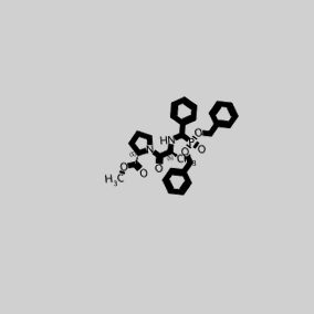 COC(=O)[C@@H]1CCCN1C(=O)[C@H](C)NC(c1ccccc1)P(=O)(OCc1ccccc1)OCc1ccccc1